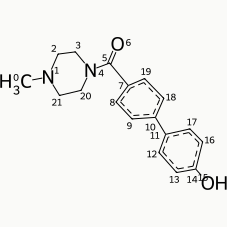 CN1CCN(C(=O)c2ccc(-c3ccc(O)cc3)cc2)CC1